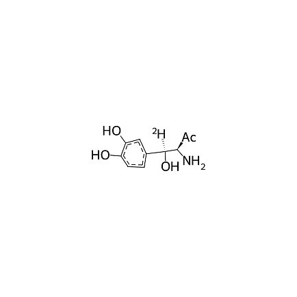 [2H][C@](O)(c1ccc(O)c(O)c1)[C@H](N)C(C)=O